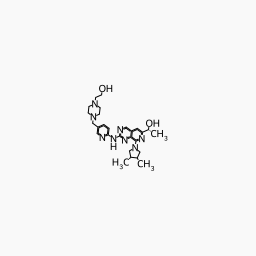 CC1CN(c2nc([C@@H](C)O)cc3cnc(Nc4ccc(CN5CCN(CCO)CC5)cn4)nc23)CC1C